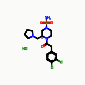 Cl.NS(=O)(=O)N1CCN(C(=O)Cc2ccc(Cl)c(Cl)c2)[C@@H](CN2CCCC2)C1